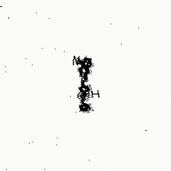 N#Cc1cccc2c1CCN(CCC1CCC(NC(=O)/C=C/c3ccccc3)CC1)C2